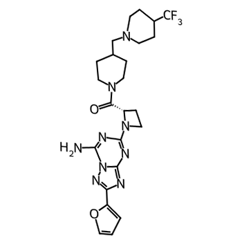 Nc1nc(N2CC[C@H]2C(=O)N2CCC(CN3CCC(C(F)(F)F)CC3)CC2)nc2nc(-c3ccco3)nn12